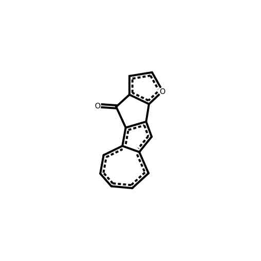 O=C1c2ccoc2-c2cc3cccccc-3c21